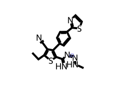 CCc1sc(C(=N)/N=N\NC)c(-c2ccc(-c3nccs3)cc2)c1C#N